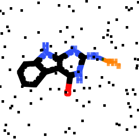 O=c1[nH]c(NP)nc2[nH]c3ccccc3c12